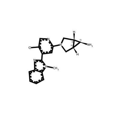 Cn1c(-c2cc(N3C[C@@H]4[C@@H](N)[C@@H]4C3)ncc2Cl)nc2ccccc21